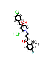 Cl.O=C(CCCN1CCC(O)(Cc2ccc(Cl)cc2)CC1)c1ccc(F)cc1[N+](=O)[O-]